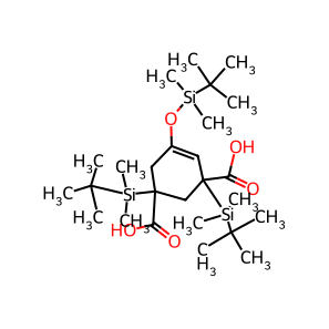 CC(C)(C)[Si](C)(C)OC1=CC(C(=O)O)([Si](C)(C)C(C)(C)C)CC(C(=O)O)([Si](C)(C)C(C)(C)C)C1